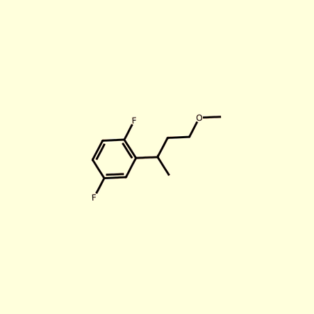 COCC[C](C)c1cc(F)ccc1F